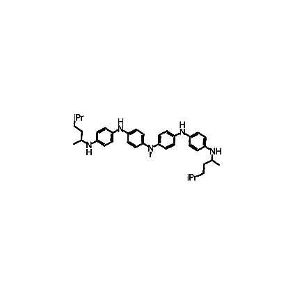 CC(C)CCC(C)Nc1ccc(Nc2ccc(N(C)c3ccc(Nc4ccc(NC(C)CCC(C)C)cc4)cc3)cc2)cc1